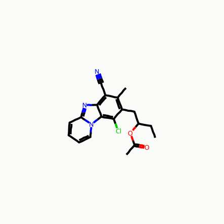 CCC(Cc1c(C)c(C#N)c2nc3ccccn3c2c1Cl)OC(C)=O